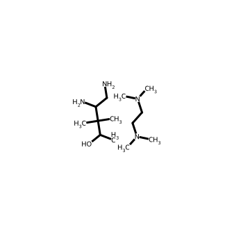 CC(O)C(C)(C)C(N)CN.CN(C)CCN(C)C